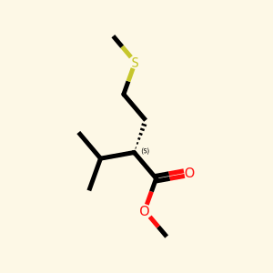 COC(=O)[C@@H](CCSC)C(C)C